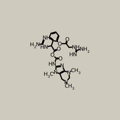 CN1Cc2c(nc(NC(=O)OC(=O)C(NC(=N)N)c3ccccc3OC(=O)CNC(=N)N)n2C)N(C)C1